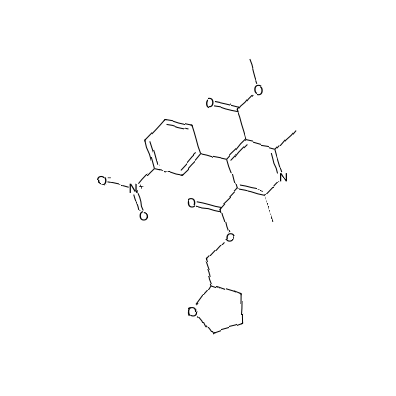 COC(=O)c1c(C)nc(C)c(C(=O)OCC2CCCO2)c1-c1cccc([N+](=O)[O-])c1